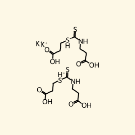 O=C(O)CCNC(=S)[SH-]CCC(=O)O.O=C(O)CCNC(=S)[SH-]CCC(=O)O.[K+].[K+]